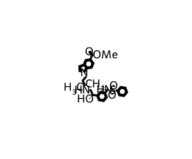 COC(=O)c1ccc2c(ccn2CCC(C)(C)NC[C@@H](O)c2cccc(NS(=O)(=O)c3ccccc3)c2)c1